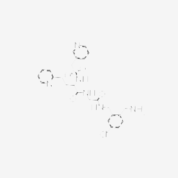 NCc1ccc(Cl)cc1CNC(=O)CNC(=O)C(CCc1ccccn1)NS(=O)(=O)Cc1cccnc1